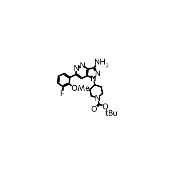 COc1c(F)cccc1-c1cc2c(nn1)c(N)nn2C1CCN(C(=O)OC(C)(C)C)CC1